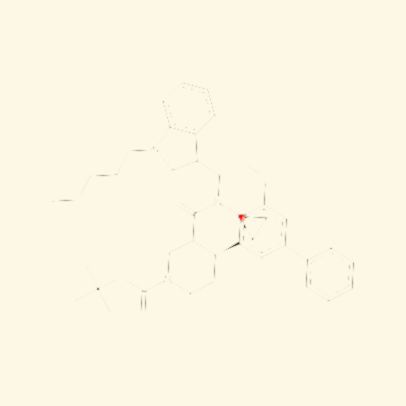 COCCCN1CC(CN(C(=O)C2CN(C(=O)OC(C)(C)C)CC[C@@H]2c2cc(OC)cc(-c3ccccc3)c2)C2CC2)c2ccccc21